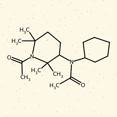 CC(=O)N(C1CCCCC1)C1CCC(C)(C)N(C(C)=O)C1(C)C